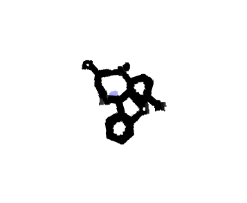 CN1CC(Cl)C/N=C(/c2ccccc2Cl)c2cc(Br)ccc21